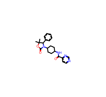 CC1(C)OC(=O)N(C2CCC(NC(=O)c3ccncn3)CC2)C1c1ccccc1